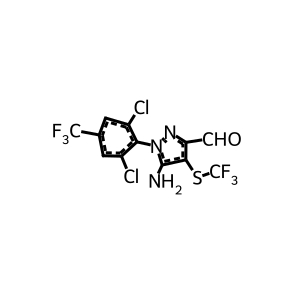 Nc1c(SC(F)(F)F)c(C=O)nn1-c1c(Cl)cc(C(F)(F)F)cc1Cl